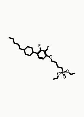 CCCCCC1CCC(c2ccc(OCCCCP(=O)(OCC)OCC)c(F)c2F)CC1